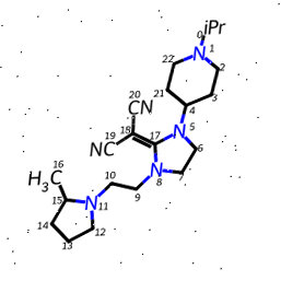 CC(C)N1CCC(N2CCN(CCN3CCCC3C)C2=C(C#N)C#N)CC1